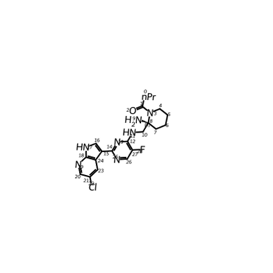 CCCC(=O)N1CCCC[C@]1(N)CNc1nc(-c2c[nH]c3ncc(Cl)cc23)ncc1F